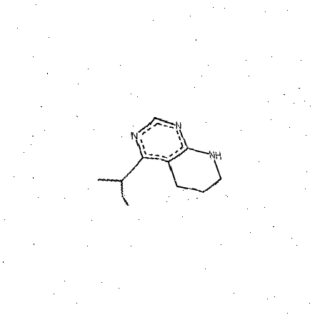 CC(C)c1ncnc2c1CCCN2